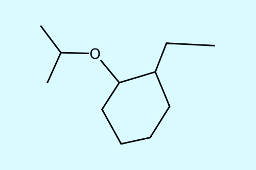 CCC1CCCCC1OC(C)C